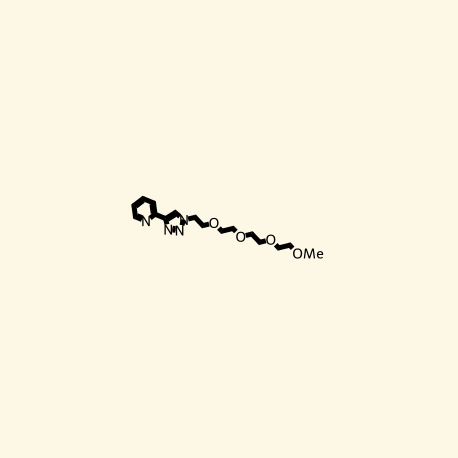 COCCOCCOCCOCCn1cc(-c2ccccn2)nn1